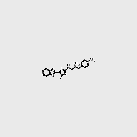 Cc1nc(NCC(N)Cc2ccc(C(F)(F)F)cc2)sc1-c1nc2ccncc2s1